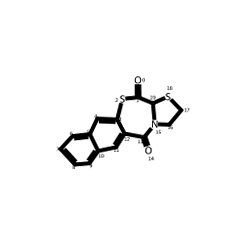 O=C1Sc2cc3ccccc3cc2C(=O)N2CCSC12